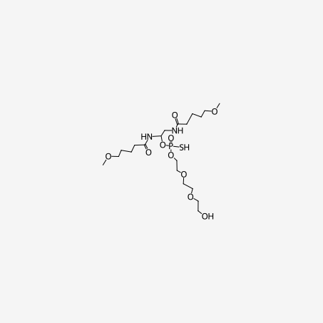 COCCCCC(=O)NCC(NC(=O)CCCCOC)OP(=O)(S)OCCOCCOCCO